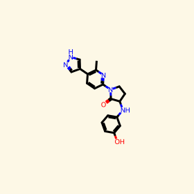 Cc1nc(N2CCC(Nc3cccc(O)c3)C2=O)ccc1-c1cn[nH]c1